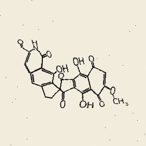 COC1=CC(=O)c2c(O)c3c(c(O)c2C1=O)C(=O)C1(CCc2cc4cc(C=O)[nH]c(=O)c4c(O)c21)C3=O